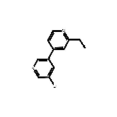 CCc1cc(-c2cncc(Cl)c2)ccn1